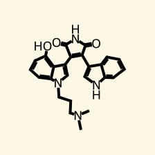 CN(C)CCCn1cc(C2=C(c3c[nH]c4ccccc34)C(=O)NC2=O)c2c(O)cccc21